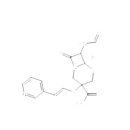 O=CNC1C(=O)N2CC(SC=Cc3cccnc3)(C(=O)O)CS[C@H]12